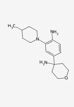 CC1CCN(c2cc(C3(N)CCOCC3)ccc2N)CC1